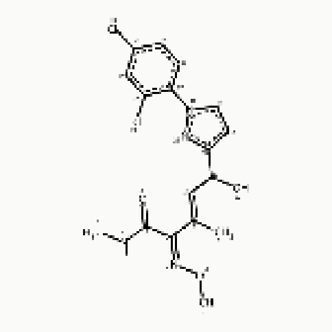 CNC(=O)C(=N/OC)/C(C)=C/C(O)c1ccn(-c2ccc(Cl)cc2Cl)n1